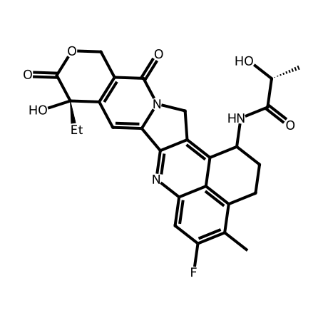 CC[C@@]1(O)C(=O)OCc2c1cc1n(c2=O)Cc2c-1nc1cc(F)c(C)c3c1c2C(NC(=O)[C@@H](C)O)CC3